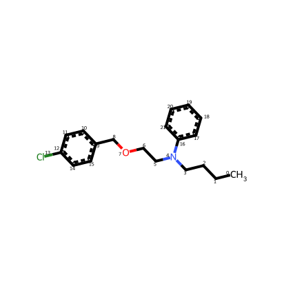 CCCCN(CCOCc1ccc(Cl)cc1)c1ccccc1